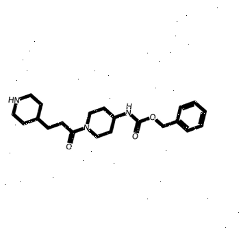 O=C(NC1CCN(C(=O)CCC2CCNCC2)CC1)OCc1ccccc1